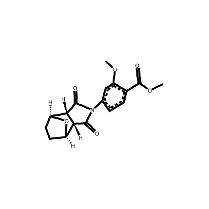 COC(=O)c1ccc(N2C(=O)[C@@H]3[C@H](C2=O)[C@H]2CC[C@@H]3O2)cc1OC